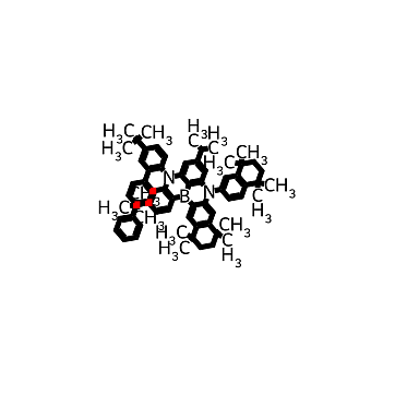 CC(C)c1cc2c3c(c1)N(c1ccc(C(C)(C)C)cc1-c1ccc(-c4ccccc4)cc1)c1cc(C(C)(C)C)ccc1B3c1cc3c(cc1N2c1ccc2c(c1)C(C)(C)CCC2(C)C)C(C)(C)CCC3(C)C